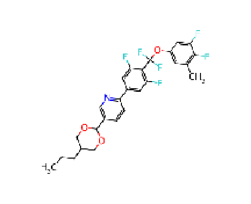 CCCC1COC(c2ccc(-c3cc(F)c(C(F)(F)Oc4cc(C)c(F)c(F)c4)c(F)c3)nc2)OC1